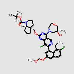 CCc1c(F)ccc2cc(OCOC)cc(-c3ncc4c(N5CCOC[C@@](C)(O)C5)nc(OC[C@]56CCC[C@H]5N(C(=O)OC(C)(C)C)CCC6)nc4c3F)c12